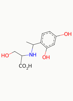 CC(NC(CO)C(=O)O)c1ccc(O)cc1O